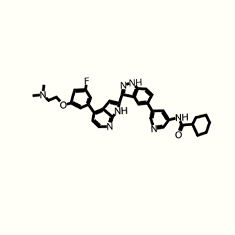 CN(C)CCOc1cc(F)cc(-c2ccnc3[nH]c(-c4n[nH]c5ccc(-c6cncc(NC(=O)C7CCCCC7)c6)cc45)cc23)c1